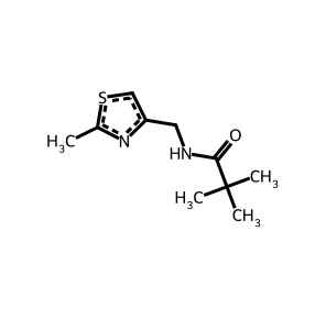 Cc1nc(CNC(=O)C(C)(C)C)cs1